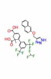 CC1(C(=O)O)CC(C(=O)O)=CC=C1c1cc(C(F)(F)F)cc(C(F)(F)F)c1.FC(F)F.c1ccc2cc(OCc3c[nH]nn3)ccc2c1